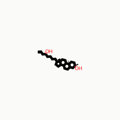 C=CCC(O)CCCCC1CCC2C3CCC4C[C@@](C)(O)CC[C@]4(C)C3CCC12C